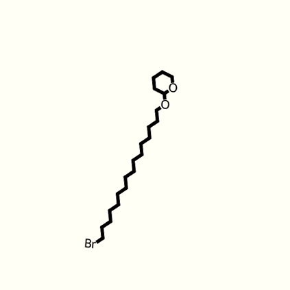 BrCCCCCCCCCCCCCCCCOC1CCCCO1